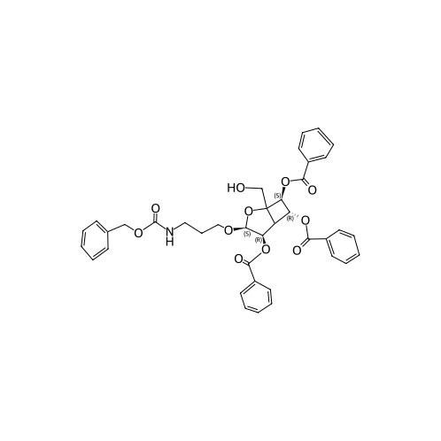 O=C(NCCCO[C@H]1OC2(CO)C([C@H]1OC(=O)c1ccccc1)[C@@H](OC(=O)c1ccccc1)[C@@H]2OC(=O)c1ccccc1)OCc1ccccc1